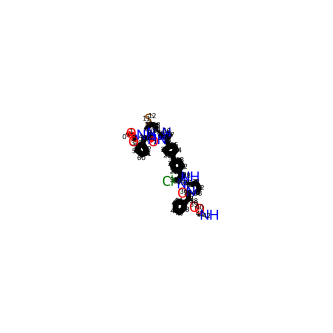 COC(=O)N[C@H](C(=O)N1C[C@@H](SC)C[C@H]1c1ncc(-c2ccc(-c3ccc(-c4[nH]c([C@@H]5CCCN5C(=O)[C@H](COOC=N)c5ccccc5)nc4Cl)cc3)cc2)[nH]1)c1ccccc1